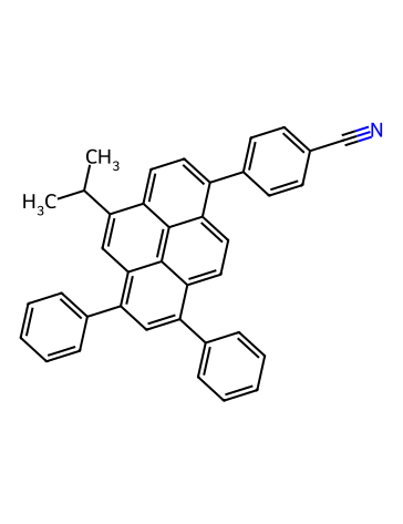 CC(C)c1cc2c(-c3ccccc3)cc(-c3ccccc3)c3ccc4c(-c5ccc(C#N)cc5)ccc1c4c32